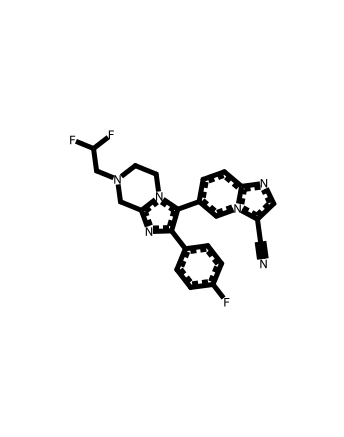 N#Cc1cnc2ccc(-c3c(-c4ccc(F)cc4)nc4n3CCN(CC(F)F)C4)cn12